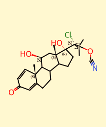 C[C@]12C=CC(=O)C=C1CCC1C2[C@@H](O)C[C@@]2(C)C1CC[C@]2(O)[C@H](Cl)[Si](C)(C)OC#N